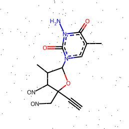 C#CC1(CN=O)OC(n2cc(C)c(=O)n(N)c2=O)C(C)C1N=O